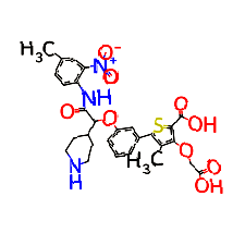 Cc1ccc(NC(=O)C(Oc2cccc(-c3sc(C(=O)O)c(OCC(=O)O)c3C)c2)C2CCNCC2)c([N+](=O)[O-])c1